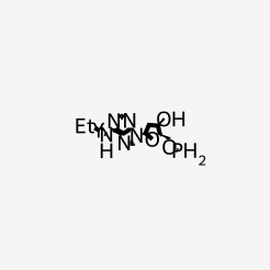 C[CH2][Y][NH]c1ncnc2c1ncn2[C@H]1C[C@@H](O)[C@@H](COP)O1